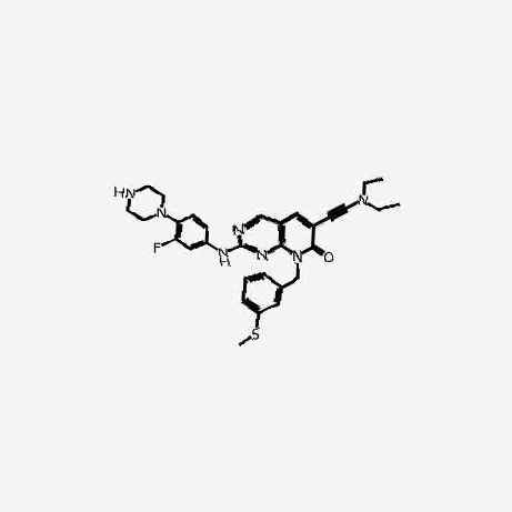 CCN(C#Cc1cc2cnc(Nc3ccc(N4CCNCC4)c(F)c3)nc2n(Cc2cccc(SC)c2)c1=O)CC